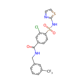 O=C(NCc1cccc(C(F)(F)F)c1)c1ccc(S(=O)(=O)Nc2nccs2)c(Cl)c1